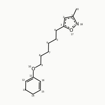 Cc1cc(CCCCCCOC2=CCCC=C2)on1